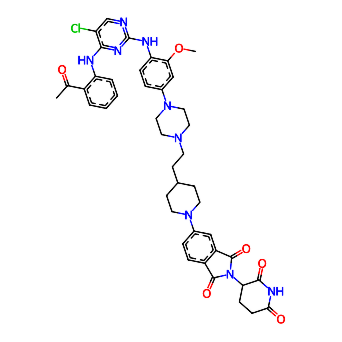 COc1cc(N2CCN(CCC3CCN(c4ccc5c(c4)C(=O)N(C4CCC(=O)NC4=O)C5=O)CC3)CC2)ccc1Nc1ncc(Cl)c(Nc2ccccc2C(C)=O)n1